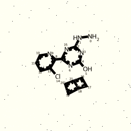 NNc1nc(O)nc(-c2ncccc2Cl)n1.c1cc2ccc1-2